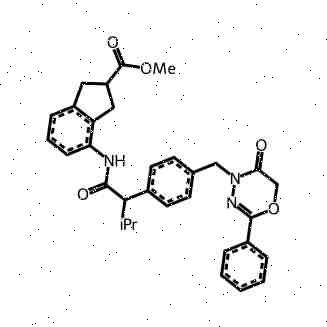 COC(=O)C1Cc2cccc(NC(=O)C(c3ccc(CN4N=C(c5ccccc5)OCC4=O)cc3)C(C)C)c2C1